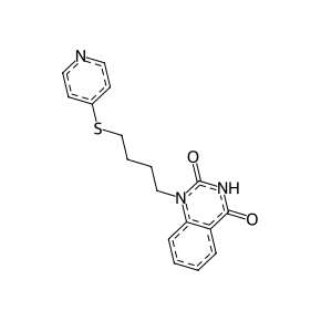 O=c1[nH]c(=O)n(CCCCSc2ccncc2)c2ccccc12